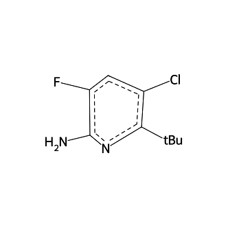 CC(C)(C)c1nc(N)c(F)cc1Cl